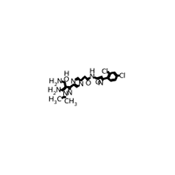 CC(C)n1nc(-c2cnc(CC(=O)Nc3cc(-c4ccc(Cl)cc4Cl)no3)cn2)c(C(N)O)c1N